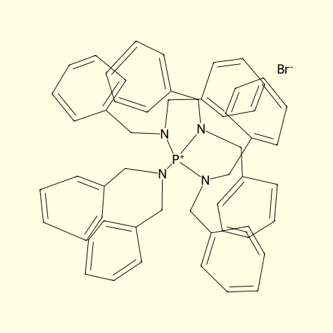 [Br-].c1ccc(CN(Cc2ccccc2)[P+](N(Cc2ccccc2)Cc2ccccc2)(N(Cc2ccccc2)Cc2ccccc2)N(Cc2ccccc2)Cc2ccccc2)cc1